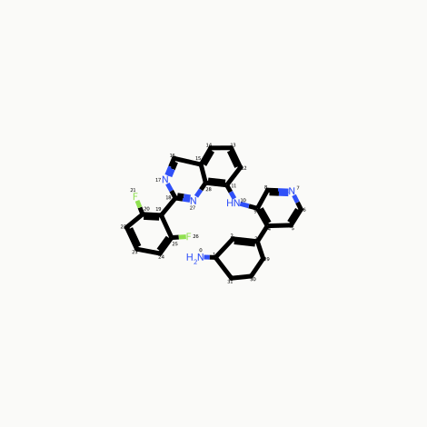 NC1C=C(c2ccncc2Nc2cccc3cnc(-c4c(F)cccc4F)nc23)CCC1